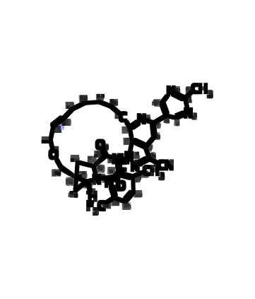 Cc1ncc(-c2cc3c(C#N)nn4c3c(n2)CCCCC/C=C/COC[C@@]23C[C@@H](C(=O)Nc5nc(C(F)(F)F)ccc5C)N(C(=O)C4)[C@@H]2C3)cn1